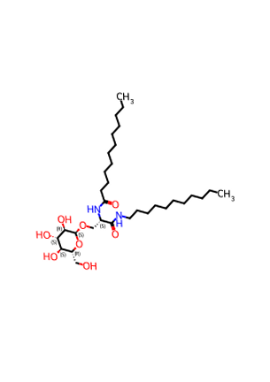 CCCCCCCCCCCNC(=O)[C@H](CO[C@H]1O[C@H](CO)[C@@H](O)[C@H](O)[C@H]1O)NC(=O)CCCCCCCCCCC